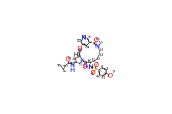 COc1ccc(S(=O)(=O)N[C@H]2CCCCN(C)C(=O)c3cncc(c3)OC[C@@H]3C[C@H](NC(=O)C4CC4)CN3C2=O)cc1